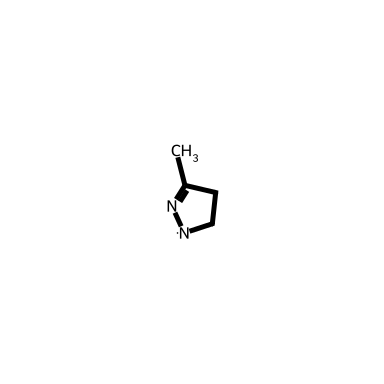 CC1=N[N]CC1